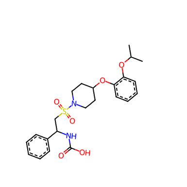 CC(C)Oc1ccccc1OC1CCN(S(=O)(=O)CC(NC(=O)O)c2ccccc2)CC1